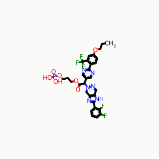 CCCOc1ccc(-c2ncc(C(C(=O)OCCCOP(=O)(O)O)N3Cc4nc(-c5cccc(F)c5F)[nH]c4C=N3)cn2)c(C(F)(F)F)c1